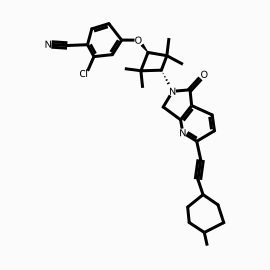 CC1CCC(C#Cc2ccc3c(n2)CN([C@H]2C(C)(C)[C@H](Oc4ccc(C#N)c(Cl)c4)C2(C)C)C3=O)CC1